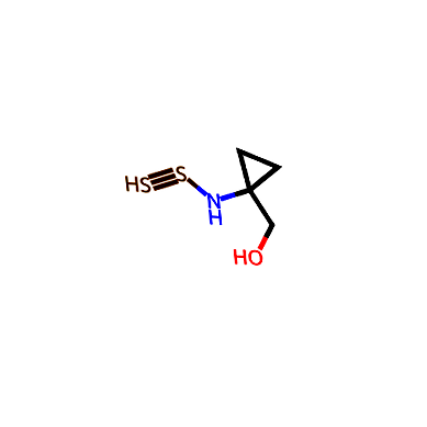 OCC1(NS#[SH])CC1